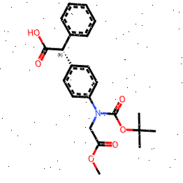 COC(=O)CN(C(=O)OC(C)(C)C)c1ccc([C@H](C(=O)O)c2ccccc2)cc1